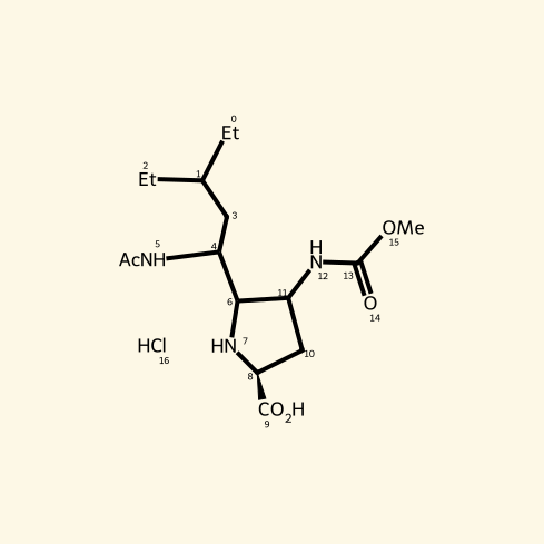 CCC(CC)CC(NC(C)=O)C1N[C@H](C(=O)O)CC1NC(=O)OC.Cl